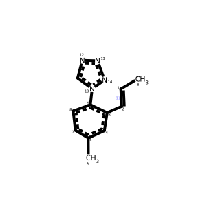 C/C=C/c1cc(C)ccc1-n1cnnn1